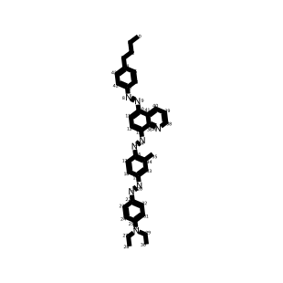 CCCCc1ccc(N=Nc2ccc(N=Nc3ccc(N=Nc4ccc(N(CC)CC)cc4)cc3C)c3ncccc23)cc1